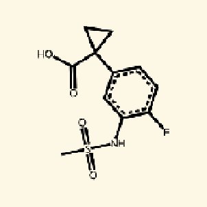 CS(=O)(=O)Nc1cc(C2(C(=O)O)CC2)ccc1F